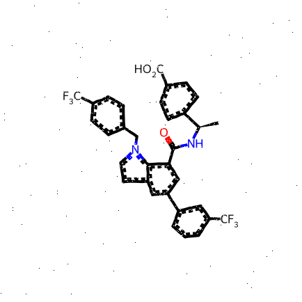 C[C@@H](NC(=O)c1cc(-c2cccc(C(F)(F)F)c2)cc2ccn(Cc3ccc(C(F)(F)F)cc3)c12)c1ccc(C(=O)O)cc1